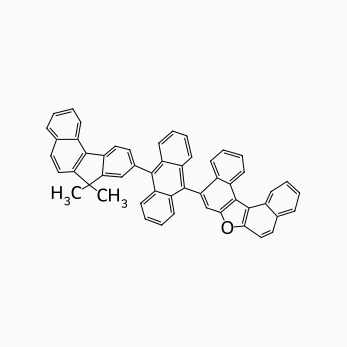 CC1(C)c2cc(-c3c4ccccc4c(-c4cc5oc6ccc7ccccc7c6c5c5ccccc45)c4ccccc34)ccc2-c2c1ccc1ccccc21